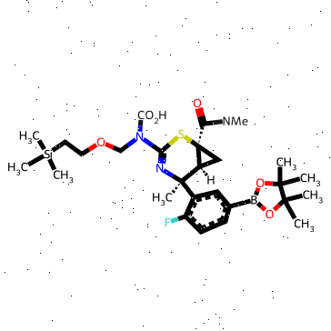 CNC(=O)[C@]12C[C@H]1[C@@](C)(c1cc(B3OC(C)(C)C(C)(C)O3)ccc1F)N=C(N(COCC[Si](C)(C)C)C(=O)O)S2